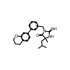 CC(C)CC1(C)NC(=N)N(Cc2cccc(-c3ccc4c(c3)OCCC4)c2)C1=O